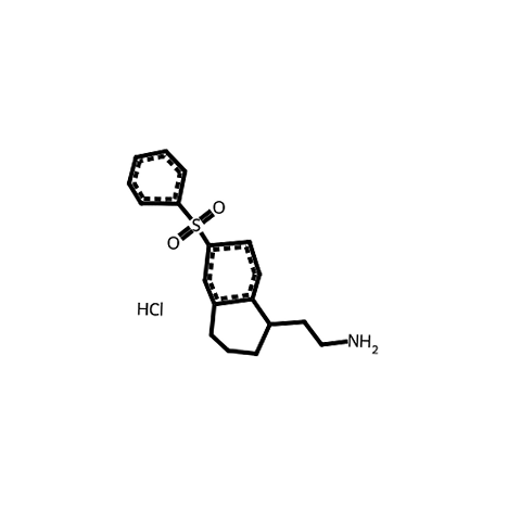 Cl.NCCC1CCCc2cc(S(=O)(=O)c3ccccc3)ccc21